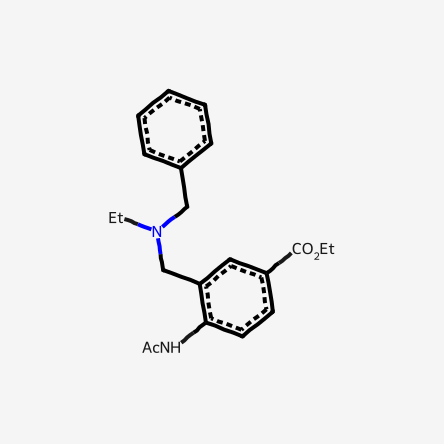 CCOC(=O)c1ccc(NC(C)=O)c(CN(CC)Cc2ccccc2)c1